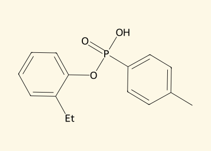 CCc1ccccc1OP(=O)(O)c1ccc(C)cc1